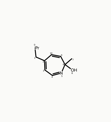 CC(C)CC1=CC=NC(C)(O)C=C1